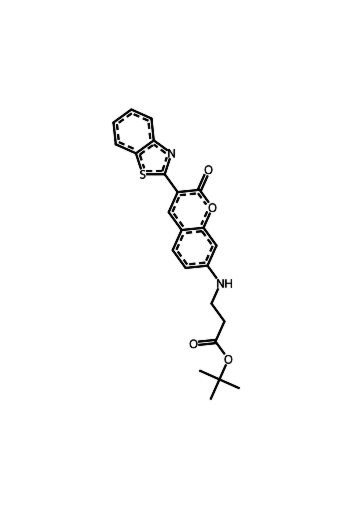 CC(C)(C)OC(=O)CCNc1ccc2cc(-c3nc4ccccc4s3)c(=O)oc2c1